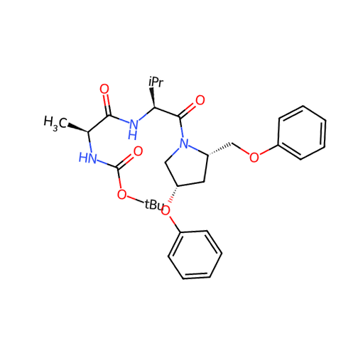 CC(C)[C@H](NC(=O)[C@H](C)NC(=O)OC(C)(C)C)C(=O)N1C[C@@H](Oc2ccccc2)C[C@H]1COc1ccccc1